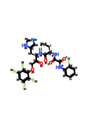 CC(C)C[C@H](NC(=O)C(=O)Nc1ccccc1F)C(=O)N[C@@H](Cc1cnc[nH]1)C(=O)COc1c(F)c(F)cc(F)c1F